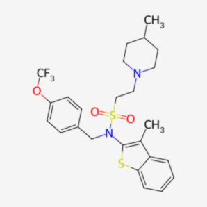 Cc1c(N(Cc2ccc(OC(F)(F)F)cc2)S(=O)(=O)CCN2CCC(C)CC2)sc2ccccc12